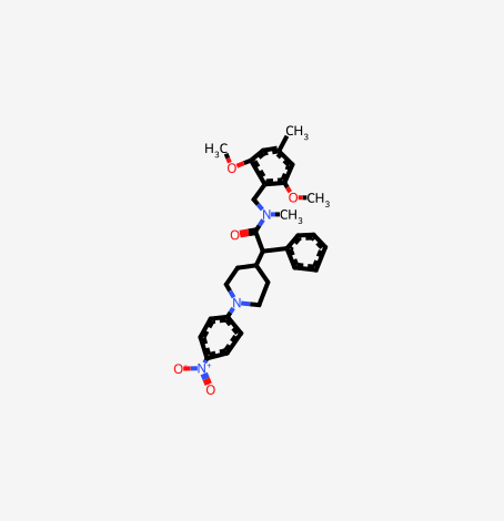 COc1cc(C)cc(OC)c1CN(C)C(=O)C(c1ccccc1)C1CCN(c2ccc([N+](=O)[O-])cc2)CC1